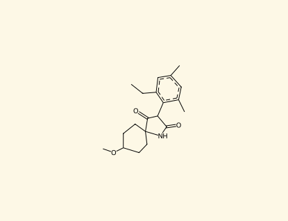 CCc1cc(C)cc(C)c1C1C(=O)NC2(CCC(OC)CC2)C1=O